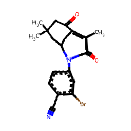 CC1=C2C(=O)CC(C)(C)CC2N(c2ccc(C#N)c(Br)c2)C1=O